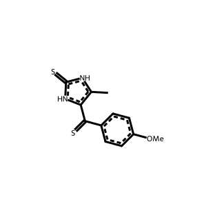 COc1ccc(C(=S)c2[nH]c(=S)[nH]c2C)cc1